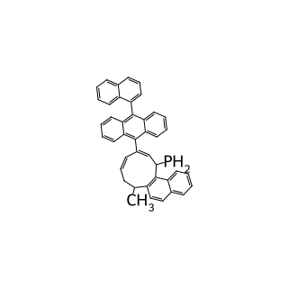 CC1C/C=C\C(c2c3ccccc3c(-c3cccc4ccccc34)c3ccccc23)=C/C(P)c2c1ccc1ccccc21